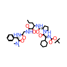 CCCC(NC(=O)[C@@H]1CCCN1C(=O)[C@@H](NC(=O)OC(C)(C)C)C1CCCCC1)C(=O)C(=O)NCC(=O)N[C@H](C(=O)N(C)C)c1ccccc1